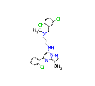 Bc1cnn2c(NCCCN(C)Cc3cc(Cl)ccc3Cl)cc(-c3ccccc3Cl)nc12